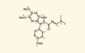 COc1ccc(-c2c(C(=O)N=CN(C)C)[nH]c3cc(OC)c(OC)cc23)cc1